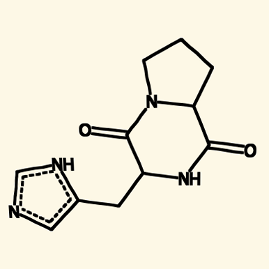 O=C1NC(Cc2cnc[nH]2)C(=O)N2CCCC12